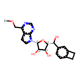 CCOCc1ncnc2c1ccn2[C@@H]1O[C@H](C(O)c2ccc3c(c2)CC3)[C@@H](O)[C@H]1O